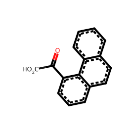 O=C(O)C(=O)c1cccc2ccc3ccccc3c12